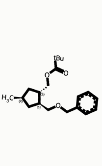 C[C@@H]1C[C@H](COCc2ccccc2)[C@@H](COC(=O)C(C)(C)C)C1